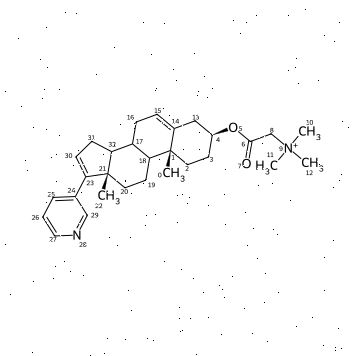 C[C@]12CC[C@H](OC(=O)C[N+](C)(C)C)CC1=CCC1C2CC[C@]2(C)C(c3cccnc3)=CCC12